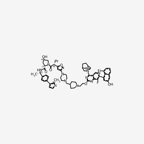 CCc1cccc2cc(O)cc(-c3ncc4c(N5CC6CCC(C5)N6)nc(OCCN5CCC(CN6CCN(c7cc([C@H](C(=O)N8C[C@H](O)C[C@H]8C(=O)N[C@@H](C)c8ccc(-c9ccnn9C)cc8)C(C)C)on7)CC6)CC5)nc4c3F)c12